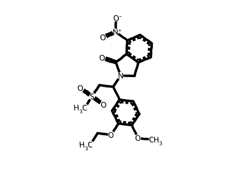 CCOc1cc(C(CS(C)(=O)=O)N2Cc3cccc([N+](=O)[O-])c3C2=O)ccc1OC